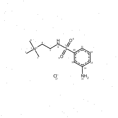 C[N+](C)(C)CCNS(=O)(=O)c1cccc(N)c1.[Cl-]